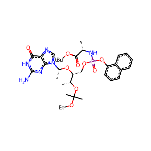 CCOC(C)(C)O[C@H](C)[C@@H](COP(=O)(N[C@@H](C)C(=O)OC(C)(C)C)Oc1cccc2ccccc12)O[C@H](C)n1cnc2c(=O)[nH]c(N)nc21